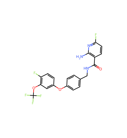 Nc1nc(F)ccc1C(=O)NCc1ccc(Oc2ccc(F)c(OC(F)(F)F)c2)cc1